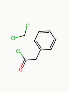 ClCCl.O=C(Cl)Cc1ccccc1